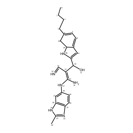 CCCCC1=CC=C2C=C(C(O)/C(C=N)=C(\N)Nc3ccc4nc(C)[nH]c4c3)NC2C1